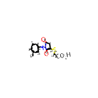 Cc1cccc(N2C(=O)CC(SCC(=O)O)C2=O)c1